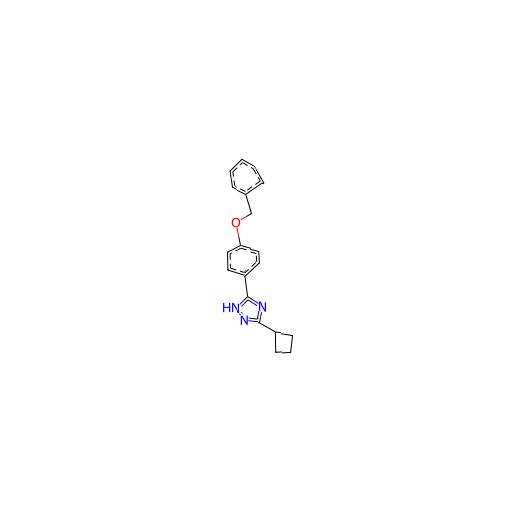 c1ccc(COc2ccc(-c3nc(C4CCC4)n[nH]3)cc2)cc1